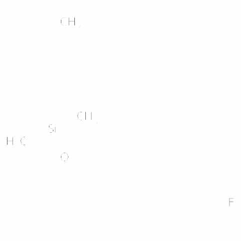 CCCC[Si](C)(C)OCCc1ccc(F)cc1